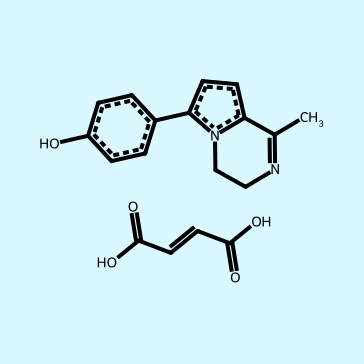 CC1=NCCn2c1ccc2-c1ccc(O)cc1.O=C(O)C=CC(=O)O